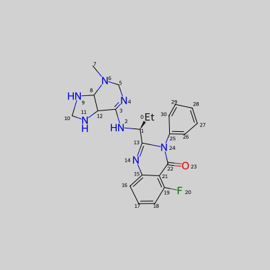 CC[C@H](NC1=NCN(C)C2NCNC12)c1nc2cccc(F)c2c(=O)n1-c1ccccc1